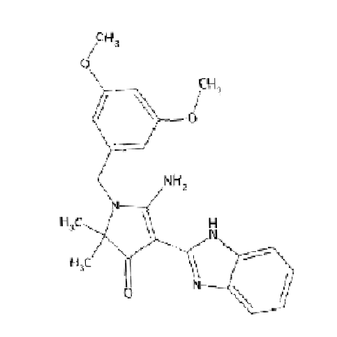 COc1cc(CN2C(N)=C(c3nc4ccccc4[nH]3)C(=O)C2(C)C)cc(OC)c1